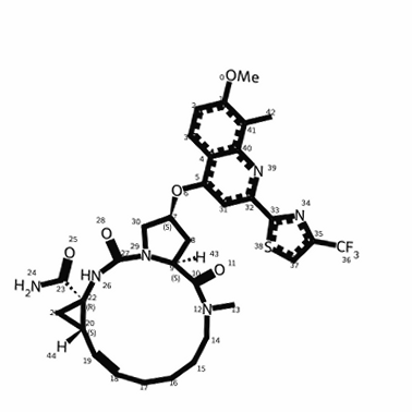 COc1ccc2c(O[C@H]3C[C@H]4C(=O)N(C)CCCCC=C[C@@H]5C[C@@]5(C(N)=O)NC(=O)N4C3)cc(-c3nc(C(F)(F)F)cs3)nc2c1C